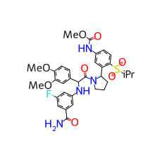 COC(=O)Nc1ccc(S(=O)(=O)C(C)C)c(C2CCCN2C(=O)C(Nc2cc(F)cc(C(N)=O)c2)c2ccc(OC)c(OC)c2)c1